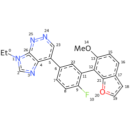 CCn1cnc2c(-c3ccc(F)c(-c4c(OC)ccc5ccoc45)c3)cnnc21